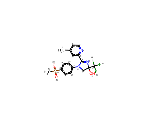 Cc1ccnc(C2=NC(O)(C(F)(F)F)CN2c2ccc(S(C)(=O)=O)cc2)c1